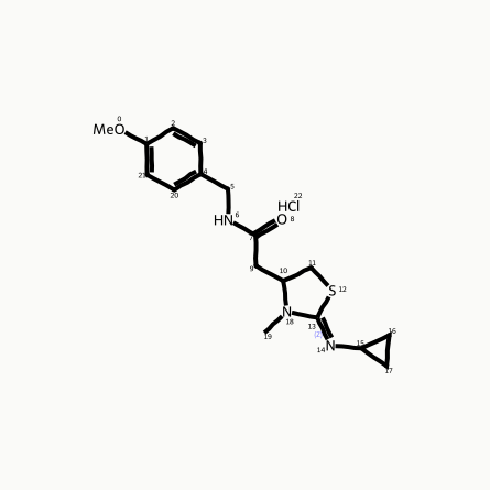 COc1ccc(CNC(=O)CC2CS/C(=N\C3CC3)N2C)cc1.Cl